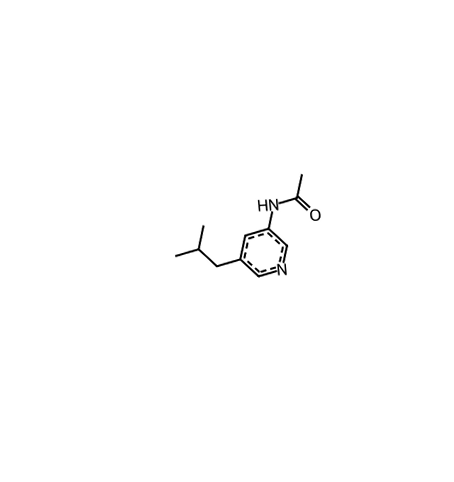 CC(=O)Nc1cncc(CC(C)C)c1